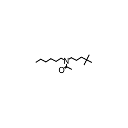 CCCCCCN(CCCC(C)(C)C)C(C)=O